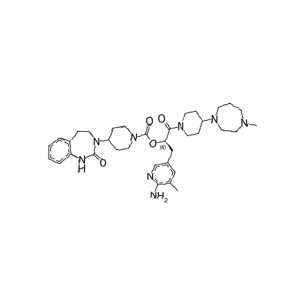 Cc1cc(C[C@@H](OC(=O)N2CCC(N3CCc4ccccc4NC3=O)CC2)C(=O)N2CCC(N3CCCN(C)CC3)CC2)cnc1N